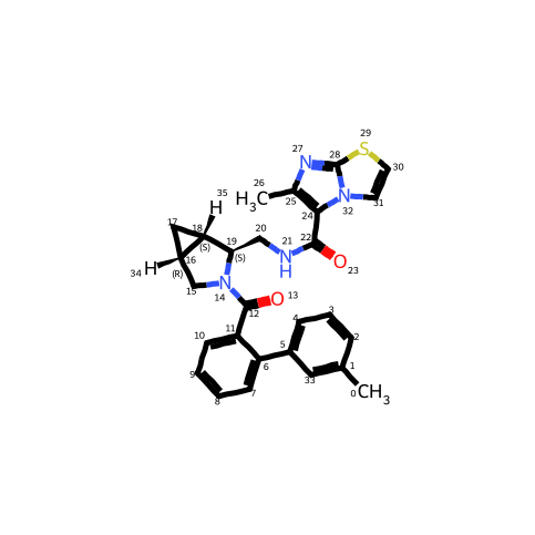 Cc1cccc(-c2ccccc2C(=O)N2C[C@@H]3C[C@@H]3[C@H]2CNC(=O)c2c(C)nc3sccn23)c1